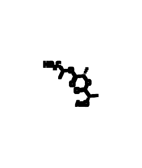 CC(=O)O[C@@H](C)C(=O)O[C@@H](C)C(=O)O[C@@H](C)C(=O)O